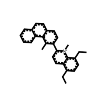 CCc1ccc(CC)c2c1ccc(-c1ccc3ccc4ccccc4c3c1C)[n+]2C